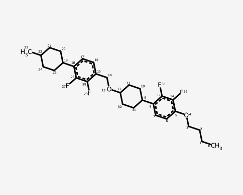 CCCCOc1ccc(C2CCC(OCc3ccc(C4CCC(C)CC4)c(F)c3F)CC2)c(F)c1F